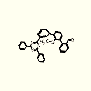 COc1c(-c2cccc(-c3nc(-c4ccccc4)nc(-c4ccccc4)n3)c2)cccc1-c1ccccc1C=O